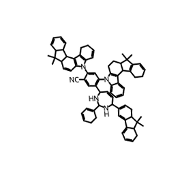 CC1(C)C2=C(CCC=C2)C2c3c(n(-c4cc(-n5c6c(c7c5C=CC5C7C7C=CC=CC7C5(C)C)CCC=C6)c(C#N)cc4C4C=CC(C5=CCC6C(=C5)C5=CC=CCC5C6(C)C)NC(C5=CC=CCC5)N4)c4ccccc34)CCC21